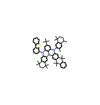 Cc1cc2c(cc1N1c3cc4c(cc3B3c5cc6c(cc5N(c5cccc7c5sc5ccccc57)c5cc(C(C)(C)C)cc1c53)C(C)(C)CCC6(C)C)C(C)(C)c1ccccc1C4(C)C)C(C)(C)CCC2C